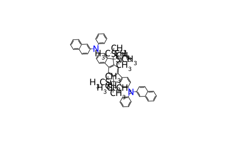 C[Si](C)(C)C1([Si](C)(C)C)c2cc(N(c3ccccc3)c3ccc4ccccc4c3)ccc2-c2cc3c(cc21)-c1ccc(N(c2ccccc2)c2ccc4ccccc4c2)cc1C3([Si](C)(C)C)[Si](C)(C)C